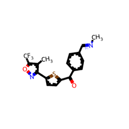 C/N=C/c1ccc(C(=O)c2ccc(-c3noc(C(F)(F)F)c3C)s2)cc1